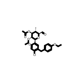 CCOc1ccc(Cc2cc([C@@H]3O[C@H](C=O)[C@@H](C)[C@H](OC(C)=O)[C@H]3OC(C)=O)ccc2Cl)cc1